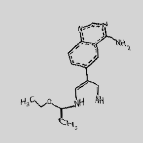 CCOC(C)N/C=C(\C=N)c1ccc2ncnc(N)c2c1